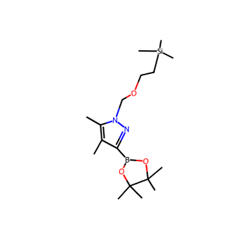 Cc1c(B2OC(C)(C)C(C)(C)O2)nn(COCC[Si](C)(C)C)c1C